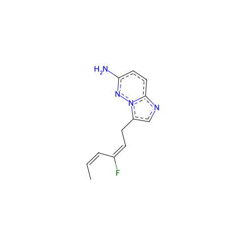 C/C=C\C(F)=C/Cc1cnc2ccc(N)nn12